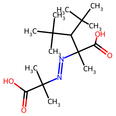 CC(C)(N=NC(C)(C(=O)O)C(C(C)(C)C)C(C)(C)C)C(=O)O